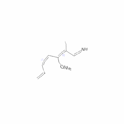 C=C/C=C\C(OC)=C(/C)C=N